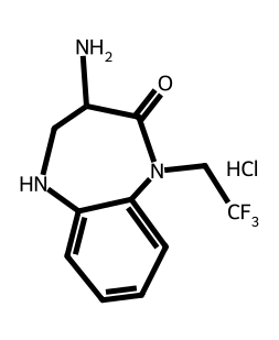 Cl.NC1CNc2ccccc2N(CC(F)(F)F)C1=O